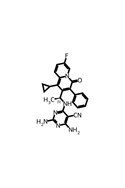 C[C@H](Nc1nc(N)nc(N)c1C#N)c1c(-c2ccccc2)c(=O)n2cc(F)ccc2c1C1CC1